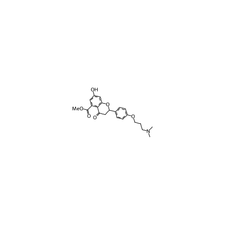 COC(=O)c1cc(O)cc2c1C(=O)CC(c1ccc(OCCCN(C)C)cc1)O2